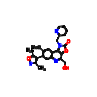 COc1cc2c(cc1-c1c(C)noc1C)nc(CO)c1oc(=O)n(Cc3ccccn3)c12